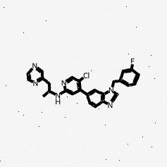 CC(Cc1cnccn1)Nc1cc(-c2ccc3ncn(Cc4cccc(F)c4)c3c2)c(Cl)cn1